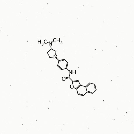 CN(C)C1CCN(c2ccc(NC(=O)c3cc4c(ccc5ccccc54)o3)cc2)C1